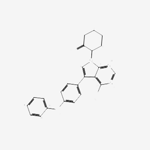 O=C1CCCCC1n1cc(-c2ccc(Oc3ccccc3)cc2)c2c(O)ncnc21